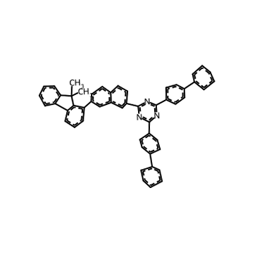 CC1(C)c2ccccc2-c2cccc(-c3ccc4ccc(-c5nc(-c6ccc(-c7ccccc7)cc6)nc(-c6ccc(-c7ccccc7)cc6)n5)cc4c3)c21